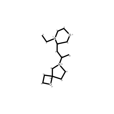 CCN1CCOCC1CC(C)N1CCC2(CCO2)C1